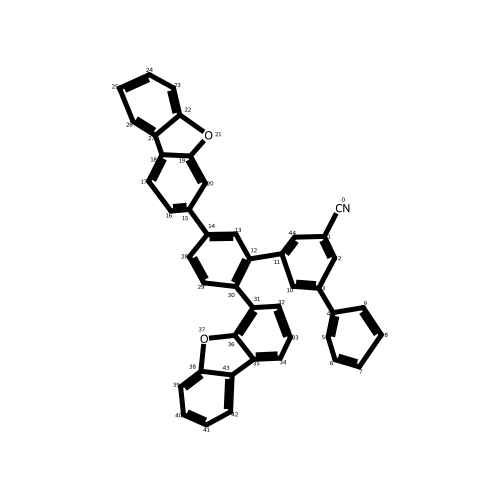 N#Cc1cc(-c2ccccc2)cc(-c2cc(-c3ccc4c(c3)oc3ccccc34)ccc2-c2cccc3c2oc2ccccc23)c1